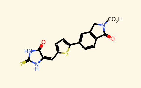 O=C1NC(=S)NC1=Cc1ccc(-c2ccc3c(c2)CN(C(=O)O)C3=O)s1